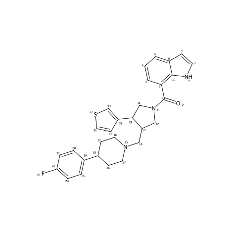 O=C(c1cccc2cc[nH]c12)N1CC(CN2CCC(c3ccc(F)cc3)CC2)C(c2ccsc2)C1